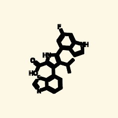 CC(C)c1c(-c2cc(F)cc3[nH]ccc23)[nH]c(C(=O)O)c1-c1cccc2ncsc12